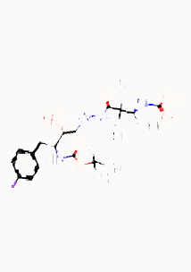 C[C@H](NC(=O)O)C(C)(C)C(=O)NNC[C@H](O)[C@H](Cc1ccc(I)cc1)NC(=O)OC(C)(C)C